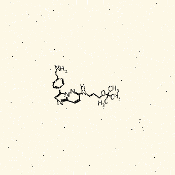 CC(C)(C)OCCCNc1ccc2ncc(-c3ccc(CN)cc3)n2n1